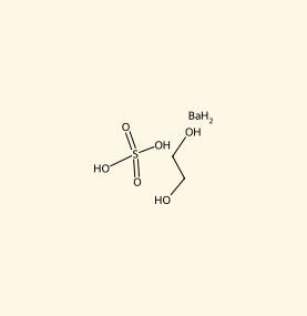 O=S(=O)(O)O.OCCO.[BaH2]